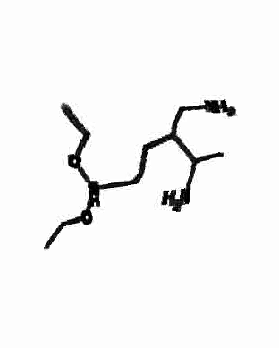 CCO[SiH](CCC(CN)C(C)N)OCC